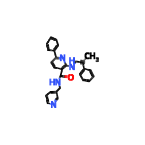 C[C@@H](CNc1nc(-c2ccccc2)ccc1C(=O)NCc1cccnc1)c1ccccc1